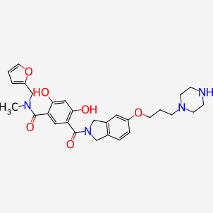 CN(Cc1ccco1)C(=O)c1cc(C(=O)N2Cc3ccc(OCCCN4CCNCC4)cc3C2)c(O)cc1O